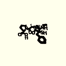 CCNC(=O)C(S)(Cc1ccccc1)C(=O)N[C@@H](C)C(=O)N1CCC[C@H]1C(=O)O